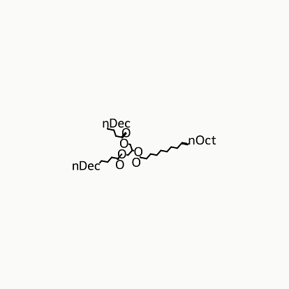 CCCCCCCCC=CCCCCCCCC(=O)OC(COC(=O)CCCCCCCCCCCCC)COC(=O)CCCCCCCCCCCCC